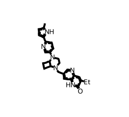 CCc1cc2ncc(CN3CCN(c4ccc(-c5ccc(C)[nH]5)nc4)C4CCC43)cc2[nH]c1=O